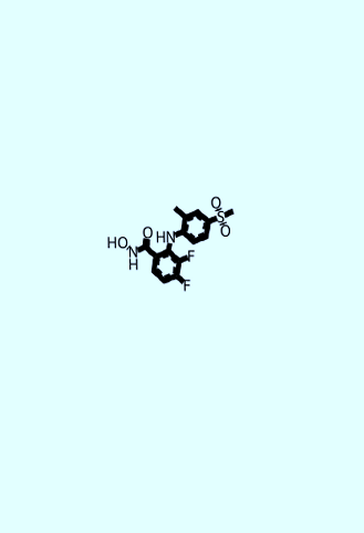 Cc1cc(S(C)(=O)=O)ccc1Nc1c(C(=O)NO)ccc(F)c1F